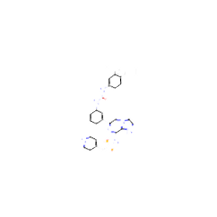 Cc1ccc(NC(=O)Nc2cccc(-c3cn4ccnc4c(NS(=O)(=O)Cc4ccncc4)n3)c2)cc1C(F)(F)F